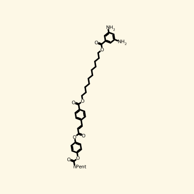 CCCCCC(=O)Oc1ccc(OC(=O)/C=C/c2ccc(C(=O)OCCCCCCCCCCCOC(=O)c3cc(N)cc(N)c3)cc2)cc1